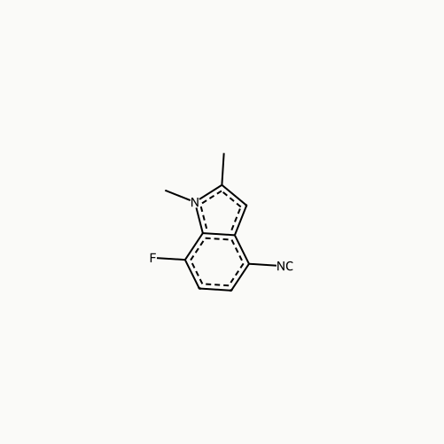 [C-]#[N+]c1ccc(F)c2c1cc(C)n2C